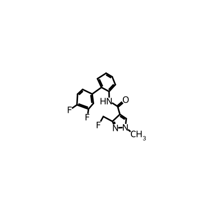 Cn1cc(C(=O)Nc2ccccc2-c2ccc(F)c(F)c2)c(CF)n1